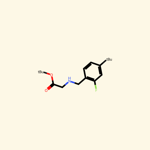 CC(C)(C)OC(=O)CNCc1ccc(C(C)(C)C)cc1F